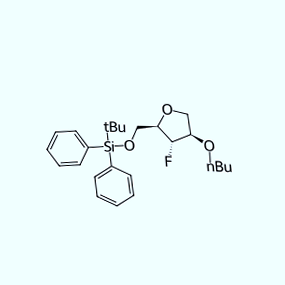 CCCCO[C@@H]1CO[C@H](CO[Si](c2ccccc2)(c2ccccc2)C(C)(C)C)[C@H]1F